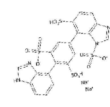 O=S(=O)([O-])c1cc(-c2c(S(=O)(=O)O)ccc3ncn(S(=O)(=O)[O-])c23)cc(S(=O)(=O)O)c1-c1cccc2[nH]cnc12.[Na+].[Na+]